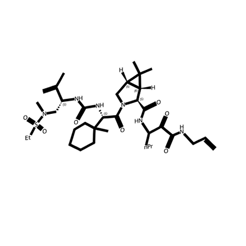 C=CCNC(=O)C(=O)C(CCC)NC(=O)[C@@H]1[C@@H]2[C@H](CN1C(=O)[C@@H](NC(=O)N[C@H](CN(C)S(=O)(=O)CC)C(=C)C)C1(C)CCCCC1)C2(C)C